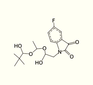 CC(OC(O)CN1C(=O)C(=O)c2cc(F)ccc21)OC(O)C(C)(C)C